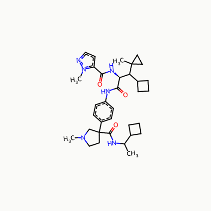 CC(NC(=O)C1(c2ccc(NC(=O)[C@@H](NC(=O)c3ccnn3C)C(C3CCC3)C3(C)CC3)cc2)CCN(C)C1)C1CCC1